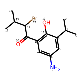 CC(C)c1cc(N)cc(C(=O)C(Br)C(C)C)c1O